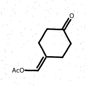 CC(=O)OC=C1CCC(=O)CC1